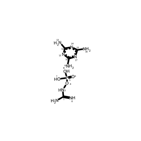 N=C(N)NOP(=O)(O)O.Nc1nc(N)nc(N)n1